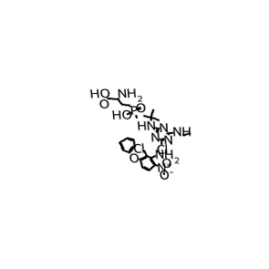 CCNc1nc(Cl)nc(NC(C)(C)C)n1.CP(=O)(O)CCC(N)C(=O)O.Nc1c([N+](=O)[O-])ccc(Oc2ccccc2)c1Cl